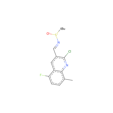 Cc1ccc(F)c2cc(C=N[S+]([O-])C(C)(C)C)c(Cl)nc12